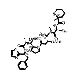 CC[C@H](C)[C@@H](C(CC(=O)N1CCC[C@H]1C(OC)[C@@H](C)C(=O)N[C@@H](Cc1ccccc1)c1nccs1)OC)N(C)C(=O)[C@@H](NC(=O)[C@@]1(C)CCCCN1)C(C)C